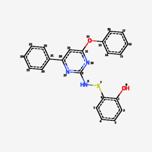 Oc1ccccc1SNc1nc(Oc2ccccc2)cc(-c2ccccc2)n1